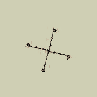 O=C(CCCCC[C@H]1C[C@@H](O)[C@@H](O)[C@@H](CO)O1)NCCCNC(=O)CCOCC(COCCC(=O)NCCCNC(=O)CCCCC[C@H]1C[C@@H](O)[C@@H](O)[C@@H](CO)O1)(COCCC(=O)NCCCNC(=O)CCCCC[C@H]1C[C@@H](O)[C@@H](O)[C@@H](CO)O1)NC(=O)CCCCCCCCCCC(=O)NCCN1C(=O)C=CC1=O